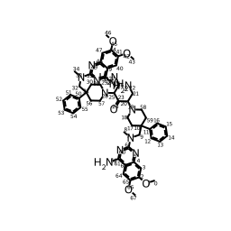 COc1cc2nc(N(C)CC3(c4ccccc4)CCN(C(CN)C(=O)C(CN)N4CCC(CN(C)c5nc(N)c6cc(OC)c(OC)cc6n5)(c5ccccc5)CC4)CC3)nc(N)c2cc1OC